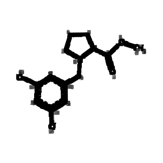 COC(=O)C1CCCN1Cc1cc(Cl)cc(Cl)c1